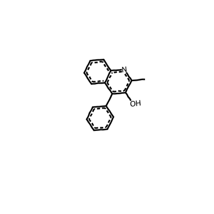 Cc1nc2ccccc2c(-c2ccccc2)c1O